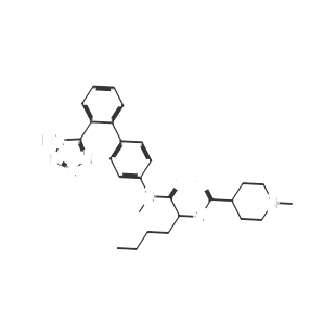 CCCCC(NC(=O)C1CCN(C)CC1)C(=O)N(C)c1ccc(-c2ccccc2-c2nnn[nH]2)cc1